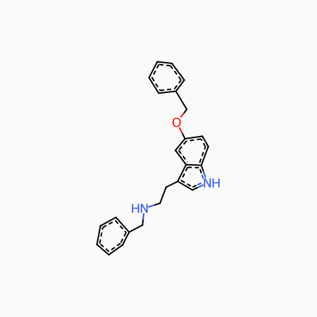 c1ccc(CNCCc2c[nH]c3ccc(OCc4ccccc4)cc23)cc1